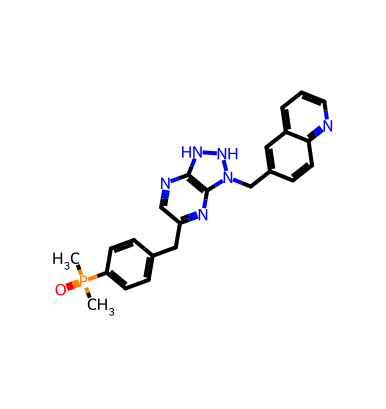 CP(C)(=O)c1ccc(Cc2cnc3c(n2)N(Cc2ccc4ncccc4c2)NN3)cc1